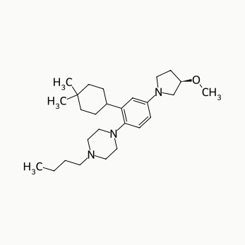 CCCCN1CCN(c2ccc(N3CC[C@@H](OC)C3)cc2C2CCC(C)(C)CC2)CC1